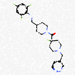 O=C(N1CCC(CNc2c(F)cc(F)cc2F)CC1)C1(F)CCN(Cc2ccnnc2)CC1